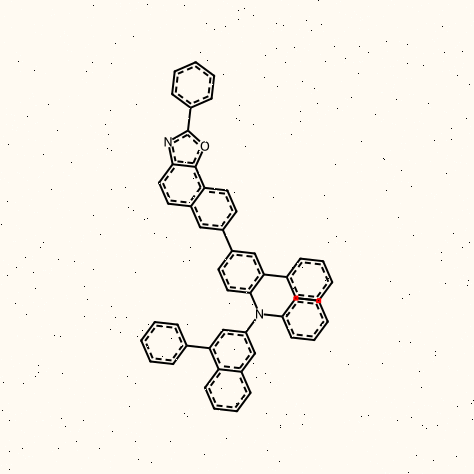 c1ccc(-c2nc3ccc4cc(-c5ccc(N(c6ccccc6)c6cc(-c7ccccc7)c7ccccc7c6)c(-c6ccccc6)c5)ccc4c3o2)cc1